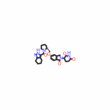 O=C1CCC(N2Cc3cc(OC[C@@H]4CCCCN4C(=O)c4[nH]nc5c4CCCC5)ccc3C2=O)C(=O)N1